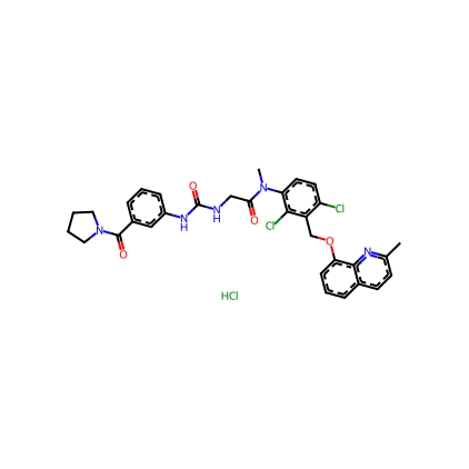 Cc1ccc2cccc(OCc3c(Cl)ccc(N(C)C(=O)CNC(=O)Nc4cccc(C(=O)N5CCCC5)c4)c3Cl)c2n1.Cl